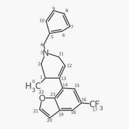 CC1CN(Cc2ccccc2)CC=C1c1cc(C(F)(F)F)cc2ccoc12